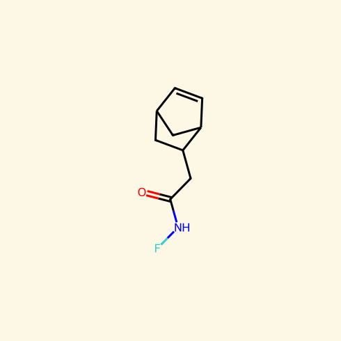 O=C(CC1CC2C=CC1C2)NF